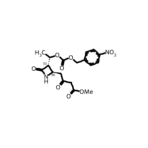 COC(=O)CC(=O)C[C@H]1NC(=O)[C@@H]1C(C)OC(=O)OCc1ccc([N+](=O)[O-])cc1